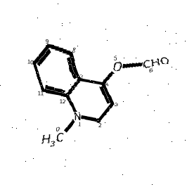 CN1CC=C(OC=O)c2ccccc21